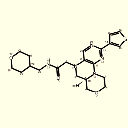 O=C(CN1C[C@@H]2COCCN2c2nc(-c3ccsc3)ncc21)NCC1CCOCC1